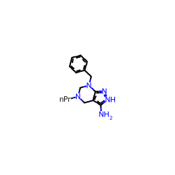 CCCN1Cc2c(n[nH]c2N)N(Cc2ccccc2)C1